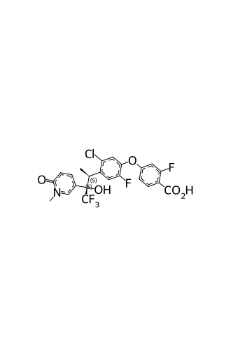 C[C@@H](c1cc(F)c(Oc2ccc(C(=O)O)c(F)c2)cc1Cl)[C@](O)(c1ccc(=O)n(C)c1)C(F)(F)F